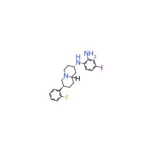 Nc1cc(I)ccc1N[C@H]1CCN2C[C@H](c3ccccc3F)CC[C@H]2C1